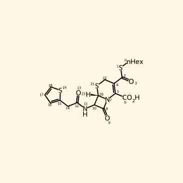 CCCCCCSC(=O)C1=C(C(=O)O)N2C(=O)C(NC(=O)Cc3cccs3)[C@@H]2SC1